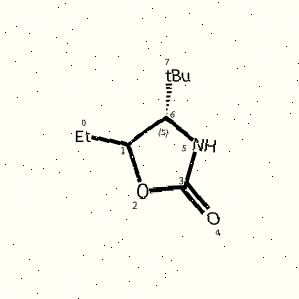 CCC1OC(=O)N[C@H]1C(C)(C)C